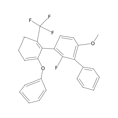 COc1ccc(C2=C(C(F)(F)F)[CH]CC=C2Oc2ccccc2)c(F)c1-c1ccccc1